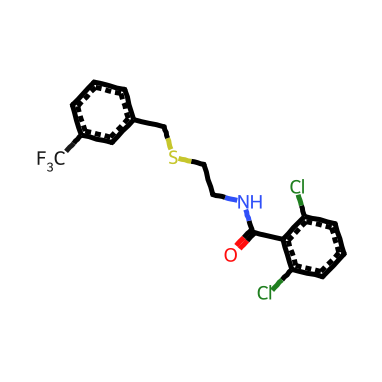 O=C(NCCSCc1cccc(C(F)(F)F)c1)c1c(Cl)cccc1Cl